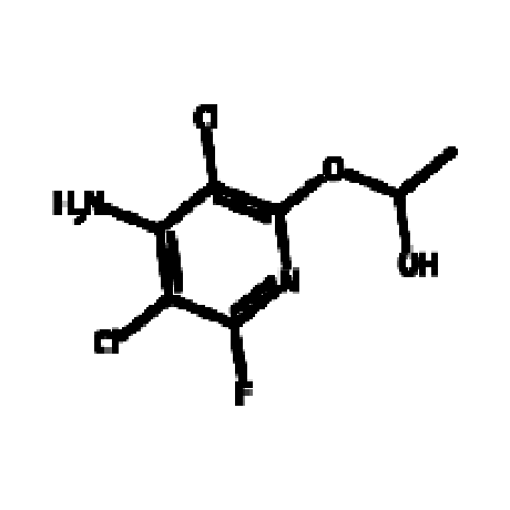 CC(O)Oc1nc(F)c(Cl)c(N)c1Cl